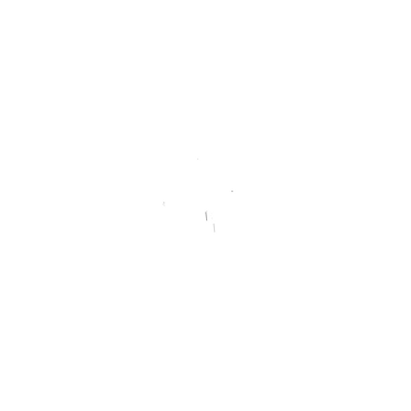 CCC(C)(F)BF